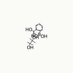 CC(C)(O)C(C)(C)O.O=C(O)c1ccccc1B(O)O